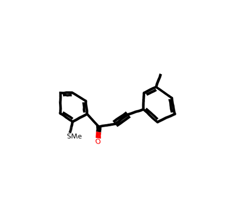 CSc1ccccc1C(=O)C#Cc1cccc(C)c1